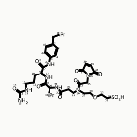 CC(C)Cc1ccc(NC(=O)[C@H](CCCNC(N)=O)NC(=O)[C@@H](NC(=O)CCN(CCOCCS(=O)(=O)O)C(=O)CN2C(=O)C=CC2=O)C(C)C)cc1